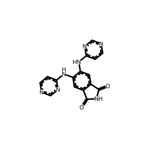 O=C1NC(=O)c2cc(Nc3ccncn3)c(Nc3ccncn3)cc21